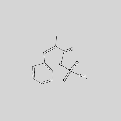 CC(=Cc1ccccc1)C(=O)OS(N)(=O)=O